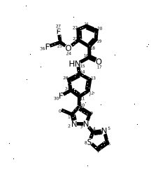 Cc1nn(-c2nccs2)cc1-c1ccc(NC(=O)c2ccccc2OC(F)F)cc1F